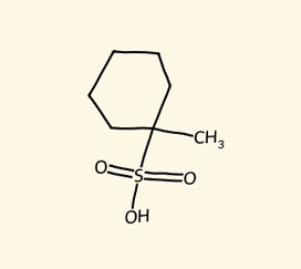 CC1(S(=O)(=O)O)CCCCC1